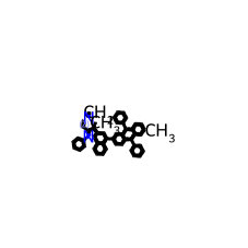 C=N/C=C\c1c(C)c2cc(-c3ccc4c(-c5ccccc5)c5cc(C)ccc5c(-c5ccccc5)c4c3)c3ccccc3c2n1-c1ccccc1